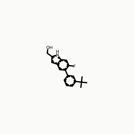 CC(C)(C)c1cccc(-c2cc3cc(CO)[nH]c3cc2F)c1